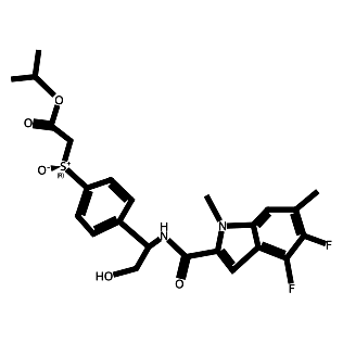 Cc1cc2c(cc(C(=O)NC(CO)c3ccc([S@@+]([O-])CC(=O)OC(C)C)cc3)n2C)c(F)c1F